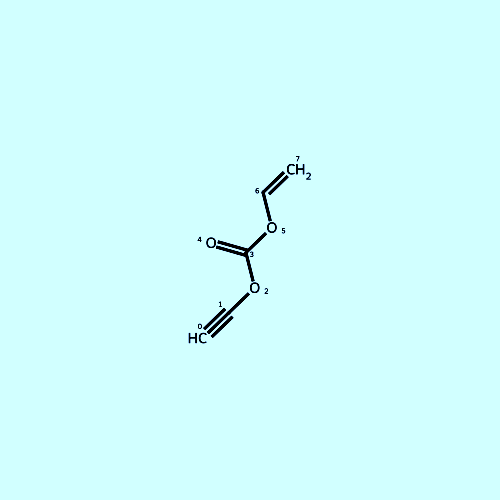 C#COC(=O)OC=C